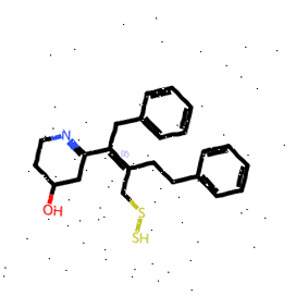 OC1CCN=C(/C(Cc2ccccc2)=C(/CCc2ccccc2)CSS)C1